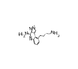 Cn1cc2c(n1)c(N)nc1cccc(CCCCN)c12